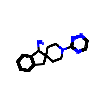 NC1c2ccccc2CC12CCN(c1nccnn1)CC2